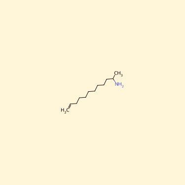 C=CCCCCCCCCC(C)N